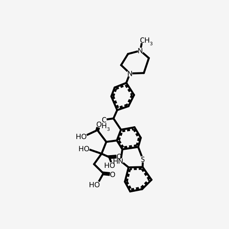 CC(c1ccc(N2CCN(C)CC2)cc1)c1ccc2c(c1C(C(=O)O)C(O)(CC(=O)O)C(=O)O)Nc1ccccc1S2